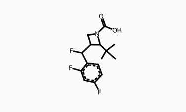 CC(C)(C)C1C(C(F)c2ccc(F)cc2F)CN1C(=O)O